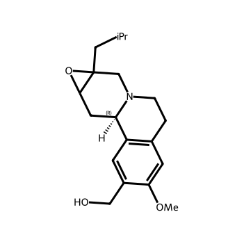 COc1cc2c(cc1CO)[C@H]1CC3OC3(CC(C)C)CN1CC2